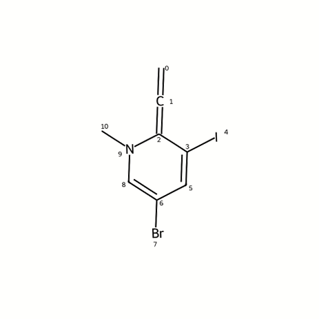 C=C=C1C(I)=CC(Br)=CN1C